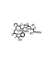 CC[C@H](C)[C@@H]([C@@H](CC(=O)N1CCC[C@H]1[C@H](OC)[C@@H](C)C(=O)N[C@H](C)[C@H](O)c1ccccc1)OC)N(C)C(=O)[C@@H](NC(=O)C(NC)C(C)C)C(C)C